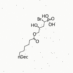 CCCCCCCCCCCCCCCC(=O)OC[C@@H](O)C[C@@H](Br)P(=O)(O)O